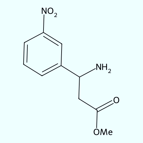 COC(=O)CC(N)c1cccc([N+](=O)[O-])c1